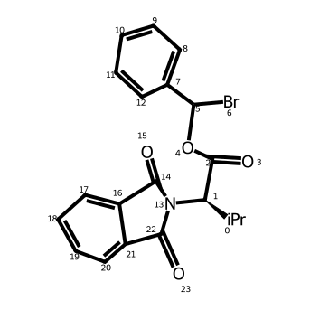 CC(C)[C@H](C(=O)OC(Br)c1ccccc1)N1C(=O)c2ccccc2C1=O